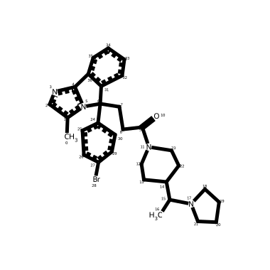 Cc1cnc2n1C(CCC(=O)N1CCC(C(C)N3CCCC3)CC1)(c1ccc(Br)cc1)c1ccccc1-2